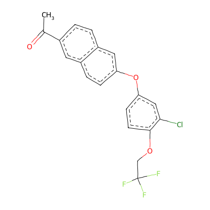 CC(=O)c1ccc2cc(Oc3ccc(OCC(F)(F)F)c(Cl)c3)ccc2c1